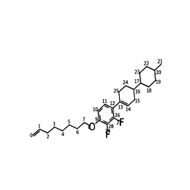 C=CCCCCCCOc1ccc(C2=CCC(C3CCC(C)CC3)CC2)c(F)c1F